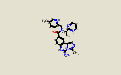 Cc1ncc2c3cc(C(=O)N(Cc4ccc(C(F)(F)F)cn4)[C@H](C)c4ncccn4)ccc3nc(N)n12